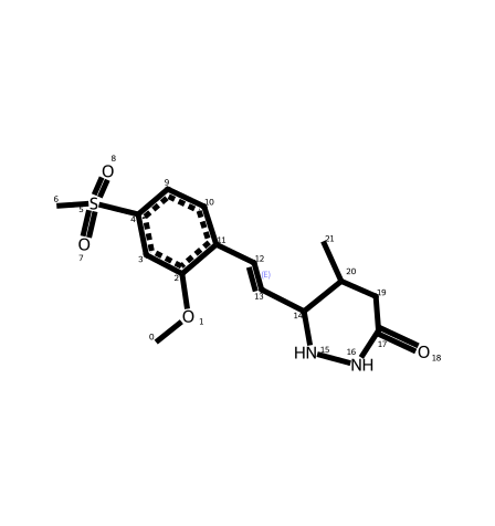 COc1cc(S(C)(=O)=O)ccc1/C=C/C1NNC(=O)CC1C